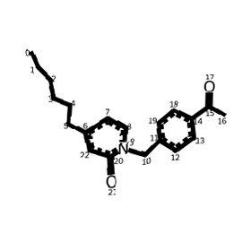 CCCCCCc1ccn(Cc2ccc(C(C)=O)cc2)c(=O)c1